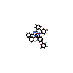 c1ccc(C2=NC(c3ccc4c(c3)oc3ccccc34)NC(c3cccc4oc5cccc(-c6ccc(-c7ccccc7)cc6)c5c34)=N2)cc1